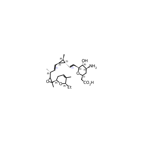 CC[C@H]1O[C@@H](C2(C)OC2[C@H](C)/C=C/[C@H]2[C@@H](C)[C@@H]2/C=C/[C@@H]2O[C@H](CC(=O)O)C[C@H](N)[C@H]2O)CC=C1C